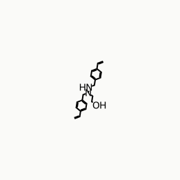 C=Cc1ccc(CNN(CCO)Cc2ccc(C=C)cc2)cc1